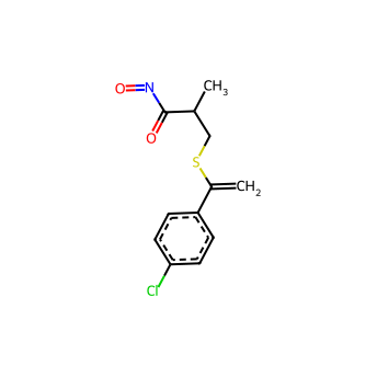 C=C(SCC(C)C(=O)N=O)c1ccc(Cl)cc1